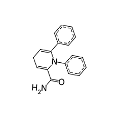 NC(=O)C1=CCC=C(c2ccccc2)N1c1ccccc1